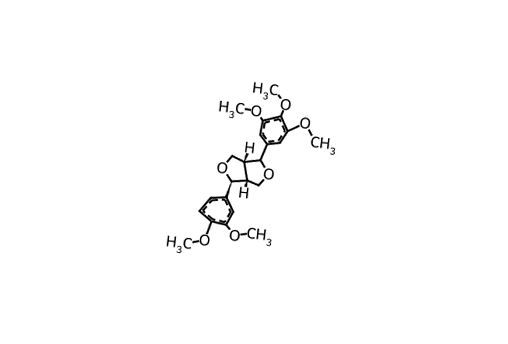 COc1ccc([C@H]2OC[C@@H]3C(c4cc(OC)c(OC)c(OC)c4)OC[C@H]23)cc1OC